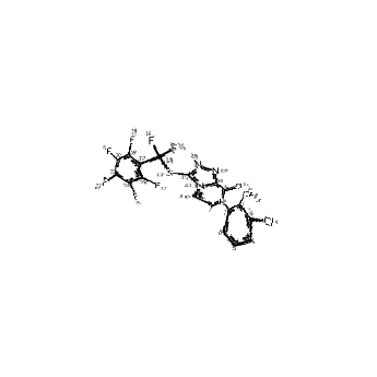 Cc1c(Cl)cccc1-n1ccn2c(SC(F)(F)c3c(F)c(F)c(F)c(F)c3F)nnc2c1=O